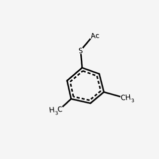 CC(=O)Sc1cc(C)cc(C)c1